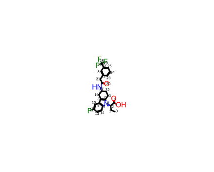 CCC(C(=O)O)n1c2c(c3cc(F)ccc31)C[C@@H](NC(=O)Cc1cccc(C(F)(F)F)c1)CC2